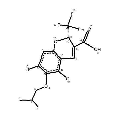 CC(C)COc1c(Cl)cc2c(c1Cl)C=C(C(=O)O)[C@@H](C(F)(F)F)O2